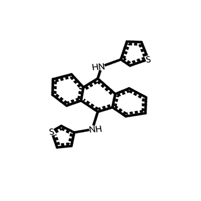 c1ccc2c(Nc3ccsc3)c3ccccc3c(Nc3ccsc3)c2c1